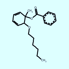 CCCCCCOC1C=CC=CC1(C)OC(=O)c1ccccc1